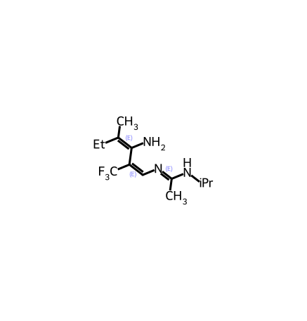 CC\C(C)=C(N)/C(=C\N=C(/C)NC(C)C)C(F)(F)F